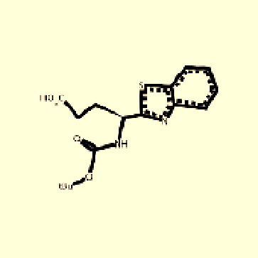 CC(C)(C)OC(=O)N[C@@H](CCC(=O)O)c1nc2ccccc2s1